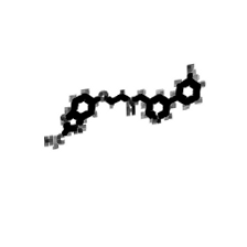 Cc1nc2cc(OCCNCc3cncc(-c4cccc(F)c4)c3)ccc2s1